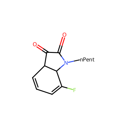 CCCCCN1C(=O)C(=O)C2C=CC=C(F)C21